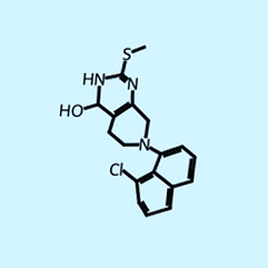 CSC1=NC2=C(CCN(c3cccc4cccc(Cl)c34)C2)C(O)N1